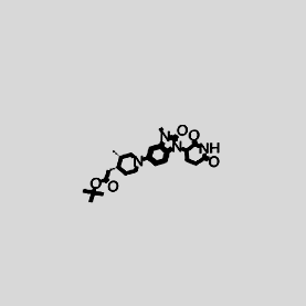 C[C@@H]1CN(c2ccc3c(c2)n(C)c(=O)n3C2CCC(=O)NC2=O)CC[C@@H]1CC(=O)OC(C)(C)C